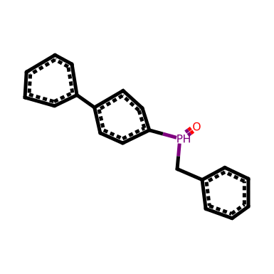 O=[PH](Cc1ccccc1)c1ccc(-c2ccccc2)cc1